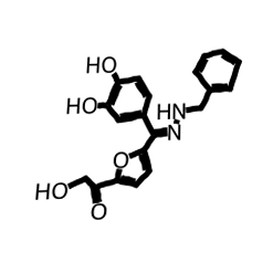 O=C(CO)c1ccc(/C(=N/NCc2ccccc2)c2ccc(O)c(O)c2)o1